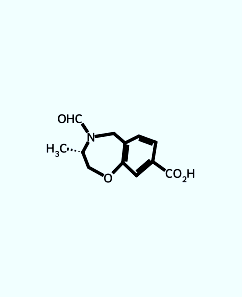 C[C@H]1COc2cc(C(=O)O)ccc2CN1C=O